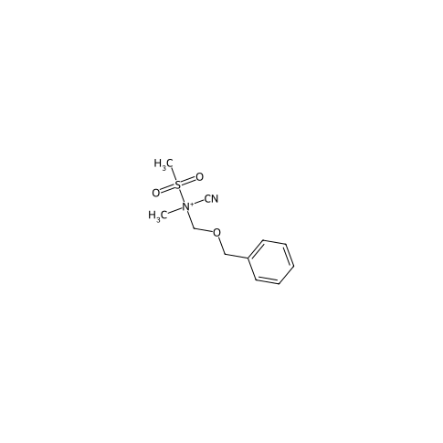 C[N+](C#N)(COCc1ccccc1)S(C)(=O)=O